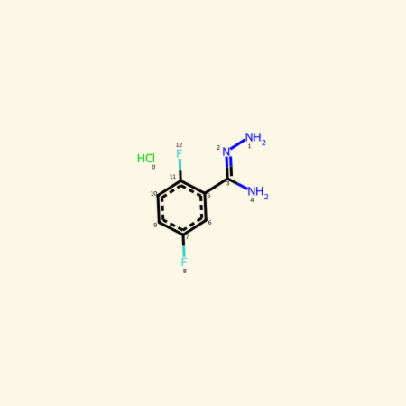 Cl.NN=C(N)c1cc(F)ccc1F